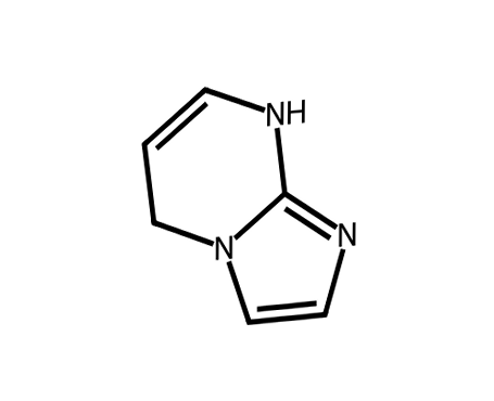 C1=CNc2nccn2C1